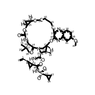 C=C[C@@H]1C[C@]1(NC(=O)[C@@H]1[C@H](C)[C@@H]2CN1C(=O)[C@H](C(C)(C)C)NC(=O)O[C@@H]1C[C@H]1CCCCCc1nc3ccc(OC)cc3nc1O2)C(=O)NS(=O)(=O)C1CC1